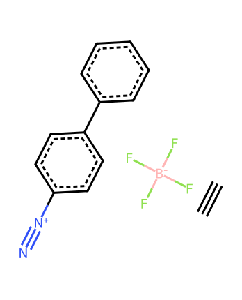 C#C.F[B-](F)(F)F.N#[N+]c1ccc(-c2ccccc2)cc1